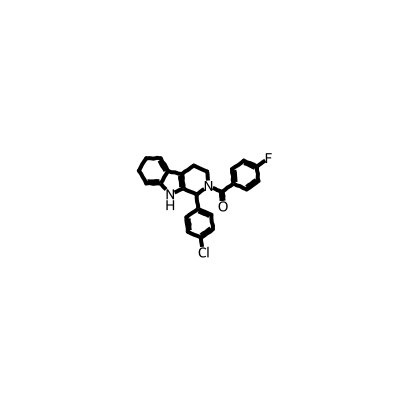 O=C(c1ccc(F)cc1)N1CCc2c([nH]c3c2=CCCC=3)C1c1ccc(Cl)cc1